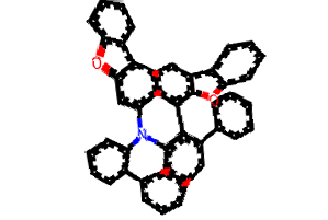 c1ccc(-c2ccccc2N(c2ccc3c(c2)oc2ccccc23)c2cccc(-c3ccccc3)c2-c2cccc3c2oc2ccccc23)cc1